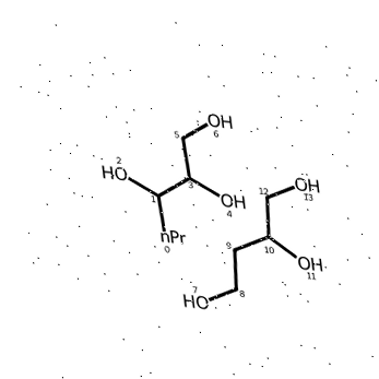 CCCC(O)C(O)CO.OCCC(O)CO